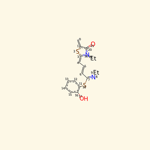 C=c1s/c(=C/C=C/C(=N\CC)Sc2ccccc2O)n(CC)c1=O